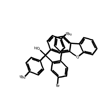 CC(C)(C)c1ccc(C(O)(c2ccc(C(C)(C)C)cc2)c2cc(Br)ccc2-c2cccc3c2oc2ccccc23)cc1